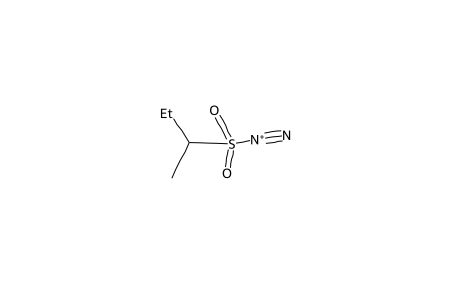 CCC(C)S(=O)(=O)[N+]#N